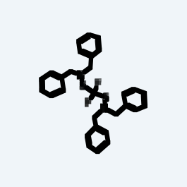 FC(F)(SN(Cc1ccccc1)Cc1ccccc1)SN(Cc1ccccc1)Cc1ccccc1